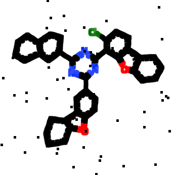 Clc1ccc2c(oc3ccccc32)c1-c1nc(-c2ccc3ccccc3c2)nc(-c2ccc3oc4ccccc4c3c2)n1